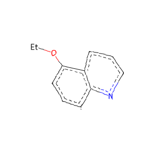 CCOc1cc[c]c2ncccc12